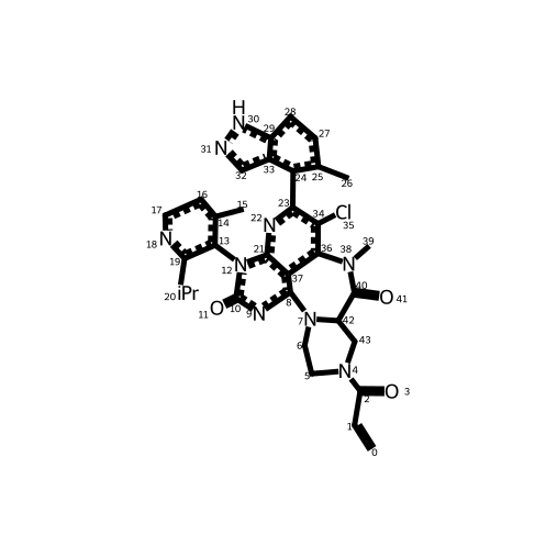 C=CC(=O)N1CCN2c3nc(=O)n(-c4c(C)ccnc4C(C)C)c4nc(-c5c(C)ccc6[nH]ncc56)c(Cl)c(c34)N(C)C(=O)C2C1